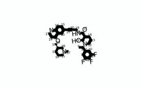 CC(c1cc(F)c(F)c(F)c1)N1C=CC=C(C(=O)NCC#Cc2ccc3nccc(OC[C@@H]4CCCN(C)C4)c3c2)C1O